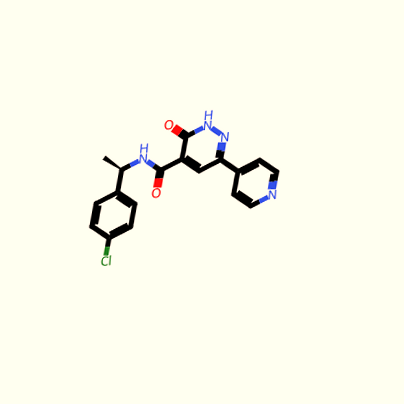 C[C@@H](NC(=O)c1cc(-c2ccncc2)n[nH]c1=O)c1ccc(Cl)cc1